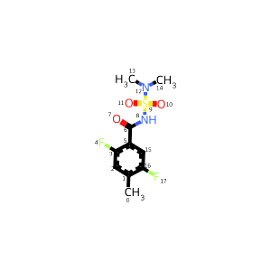 Cc1cc(F)c(C(=O)NS(=O)(=O)N(C)C)cc1F